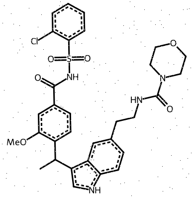 COc1cc(C(=O)NS(=O)(=O)c2ccccc2Cl)ccc1C(C)c1c[nH]c2ccc(CCNC(=O)N3CCOCC3)cc12